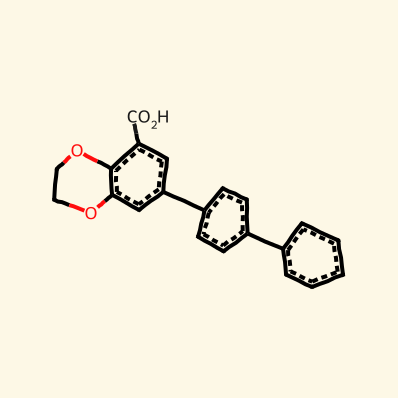 O=C(O)c1cc(-c2ccc(-c3ccccc3)cc2)cc2c1OCCO2